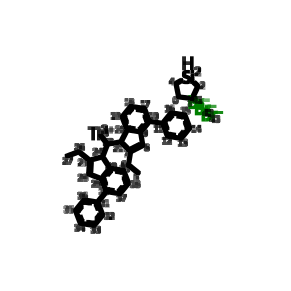 C1CC[SiH2]C1.CCC1=Cc2c(-c3ccccc3)cccc2C1[CH]([Ti+3])C1C(CC)=Cc2c(-c3ccccc3)cccc21.[Br-].[Br-].[Br-]